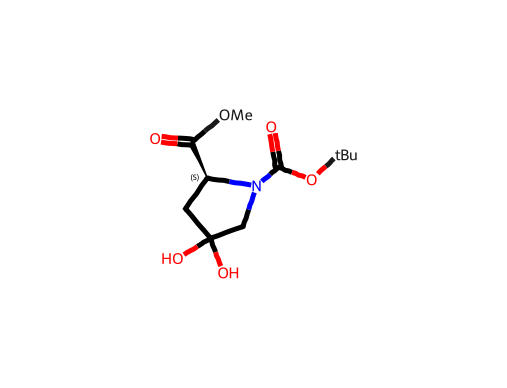 COC(=O)[C@@H]1CC(O)(O)CN1C(=O)OC(C)(C)C